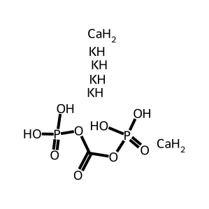 O=C(OP(=O)(O)O)OP(=O)(O)O.[CaH2].[CaH2].[KH].[KH].[KH].[KH]